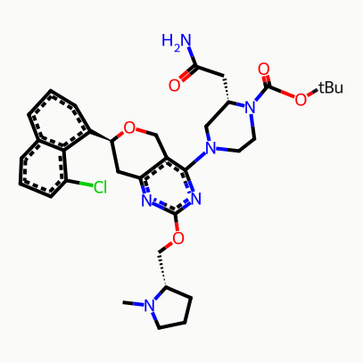 CN1CCC[C@H]1COc1nc2c(c(N3CCN(C(=O)OC(C)(C)C)[C@@H](CC(N)=O)C3)n1)CO[C@H](c1cccc3cccc(Cl)c13)C2